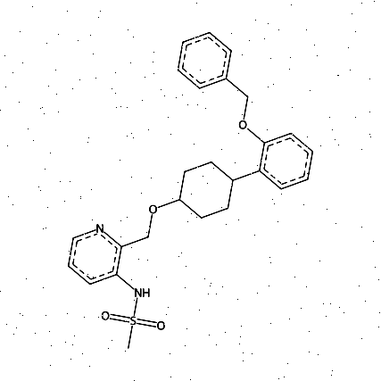 CS(=O)(=O)Nc1cccnc1COC1CCC(c2ccccc2OCc2ccccc2)CC1